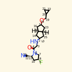 C[C@]1(NCC(=O)N2C[C@@H](F)C[C@H]2C#N)C[C@H]2C[C@@H](OCC3CC3)C[C@H]2C1